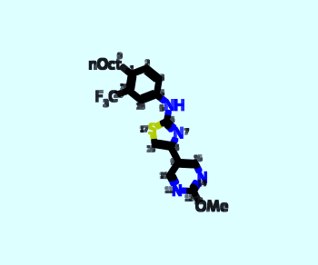 CCCCCCCCc1ccc(Nc2nc(-c3cnc(OC)nc3)cs2)cc1C(F)(F)F